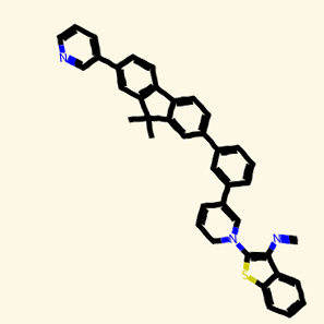 C=Nc1c(N2C=C(c3cccc(-c4ccc5c(c4)C(C)(C)c4cc(-c6cccnc6)ccc4-5)c3)C=CC2)sc2ccccc12